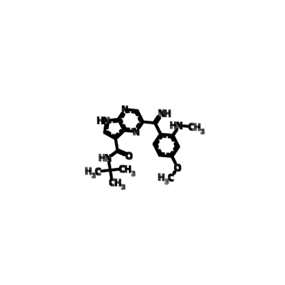 CNc1cc(OC)ccc1C(=N)c1cnc2[nH]cc(C(=O)NC(C)(C)C)c2n1